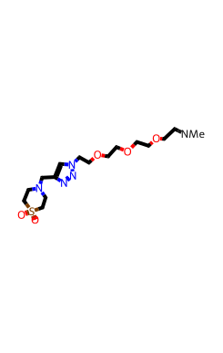 CNCCOCCOCCOCCn1cc(CN2CCS(=O)(=O)CC2)nn1